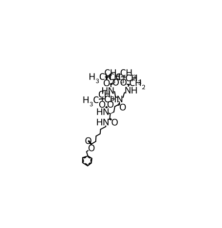 C=C(NCCN(CCNC(=O)OC(C)(C)C)C(=O)CC[C@H](NC(=O)OC(C)(C)C)C(=O)NCCCCCC(=O)OCc1ccccc1)OC(C)(C)C